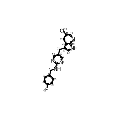 Fc1ccc(CNc2ncc(Cc3c[nH]c4ncc(Cl)cc34)cn2)cc1